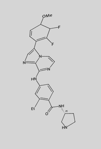 CCc1cc(Nc2nccn3c(C4=C(F)C(F)C(OC)C=C4)cnc23)ccc1C(=O)N[C@@H]1CCNC1